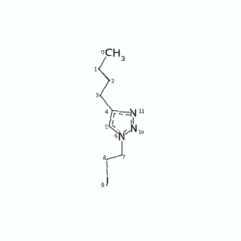 CCCCc1cn(CCI)nn1